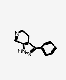 C1=NCCc2c(-c3ccccc3)n[nH]c21